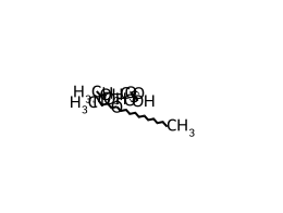 CCCCCCCCCCCCOCC(O)CN(C)C(C)O.COS(=O)(=O)O